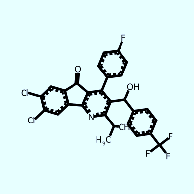 CC(C)c1nc2c(c(-c3ccc(F)cc3)c1C(O)c1ccc(C(F)(F)F)cc1)C(=O)c1cc(Cl)c(Cl)cc1-2